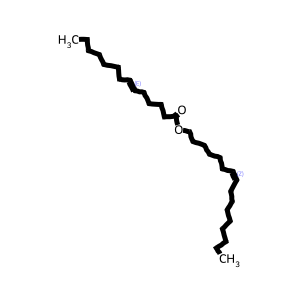 CCCCCCC/C=C/CCCCC(=O)OCCCCCC/C=C\CCCCCCCC